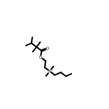 CCCC[N+](C)(C)CCOC(=O)C(C)(C)C(C)C